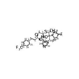 CC(SC1COC(/C=C/c2ccc(C(F)(F)F)cc2)OC1)C(O)(Cn1cncn1)c1ccc(F)cc1F